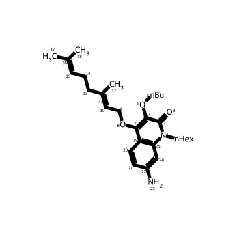 CCCCCCn1c(=O)c(OCCCC)c(OC/C=C(\C)CCC=C(C)C)c2ccc(N)cc21